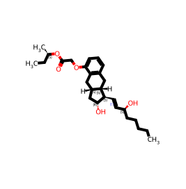 CCCCC[C@H](O)/C=C/[C@@H]1[C@H]2Cc3cccc(OCC(=O)O[C@@H](C)CC)c3C[C@H]2C[C@H]1O